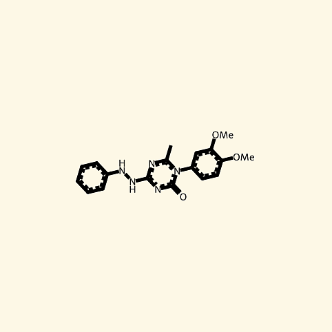 COc1ccc(-n2c(C)nc(NNc3ccccc3)nc2=O)cc1OC